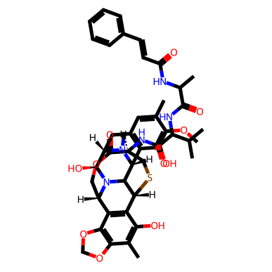 COc1c(C)cc2c(c1O)[C@@H]1C3[C@@H]4SC[C@H](NC(=O)C(NC(=O)C(C)NC(=O)/C=C/c5ccccc5)C(C)C)C(=O)OC[C@@H](c5c6c(c(C)c(O)c54)OCO6)N3[C@@H](O)[C@H](C2)N1C